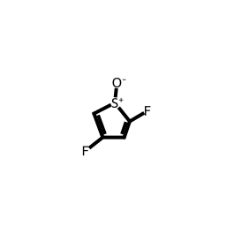 [O-][s+]1cc(F)cc1F